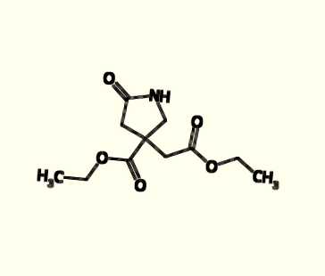 CCOC(=O)CC1(C(=O)OCC)CNC(=O)C1